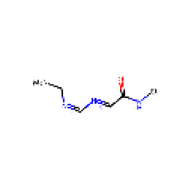 CCNC(=O)/C=N/C=N\CNC